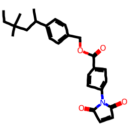 CCC(C)(C)CC(C)c1ccc(COC(=O)c2ccc(N3C(=O)C=CC3=O)cc2)cc1